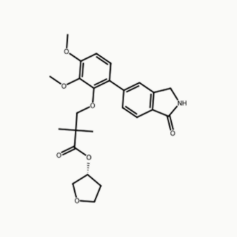 COc1ccc(-c2ccc3c(c2)CNC3=O)c(OCC(C)(C)C(=O)O[C@@H]2CCOC2)c1OC